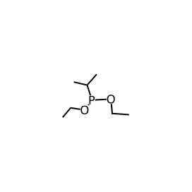 CCOP(OCC)C(C)C